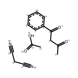 CC(=O)CC(=O)c1ccccc1.CC(=O)O.N#CCC#N